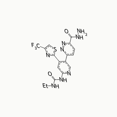 CCNC(=O)Nc1cc(-c2nc(C(F)(F)F)cs2)c(-c2ccc(C(=O)NN)nn2)cn1